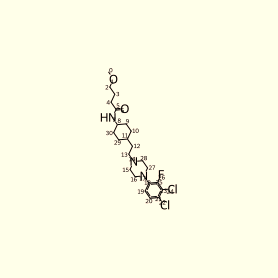 COCCCC(=O)NC1CCC(CCN2CCN(c3ccc(Cl)c(Cl)c3F)CC2)CC1